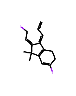 C=C/C=C1/C2=C(C=C(I)CC2)C(C)(C)/C1=C/CI